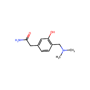 CN(C)Cc1ccc(CC(N)=O)cc1O